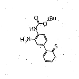 CC(C)(C)OC(=O)Nc1ccc(C2=CC=CCC2=S)cc1N